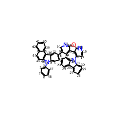 c1ccc(-n2c3ccc(-c4cnc5oc6nccc(-n7c8ccccc8c8ccccc87)c6c5c4)cc3c3c4ccccc4ccc32)cc1